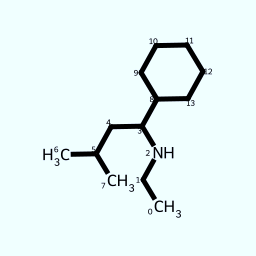 CCNC(CC(C)C)C1CCCCC1